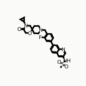 CS(=O)(=O)Nc1cnc2cc(-c3ccc(CN4CCC5(CC4)CN(C4CC4)C(=O)CO5)c(F)c3)ccc2c1